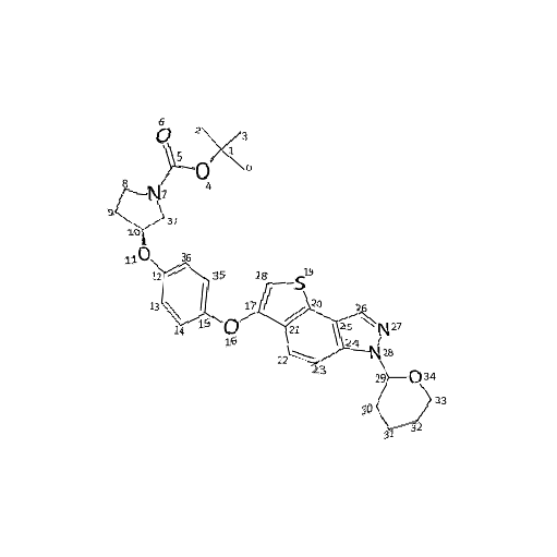 CC(C)(C)OC(=O)N1CC[C@H](Oc2ccc(Oc3csc4c3ccc3c4cnn3C3CCCCO3)cc2)C1